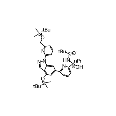 CCC[C@@](O)(N[S+]([O-])C(C)(C)C)c1cccc(-c2cc(O[Si](C)(C)C(C)(C)C)c3cnn(-c4cccc(CO[Si](C)(C)C(C)(C)C)n4)c3c2)n1